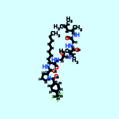 CCCCCCCCC(NC(=O)C1CCCN1C(=O)c1ccc(C(F)(F)F)cc1)C(=O)NCC(=O)NC(C)(C)C(=O)NCC(=O)NC(C)CC(C)C